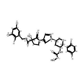 CC(C)(C)OC(=O)N[C@H]1C[C@@H](n2cc(N3CC[C@](O)(C(=O)NCc4cc(Cl)cc(Cl)c4F)C3=O)cn2)CO[C@@H]1c1cc(F)ccc1F